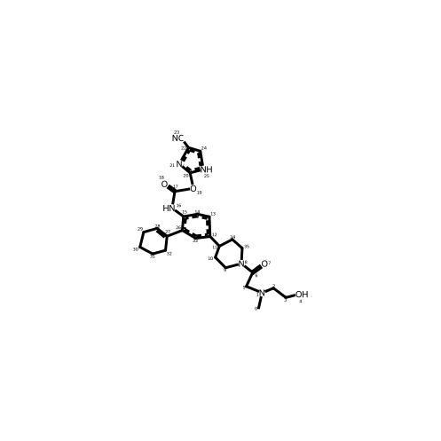 CN(CCO)CC(=O)N1CCC(c2ccc(NC(=O)Oc3nc(C#N)c[nH]3)c(C3=CCCCC3)c2)CC1